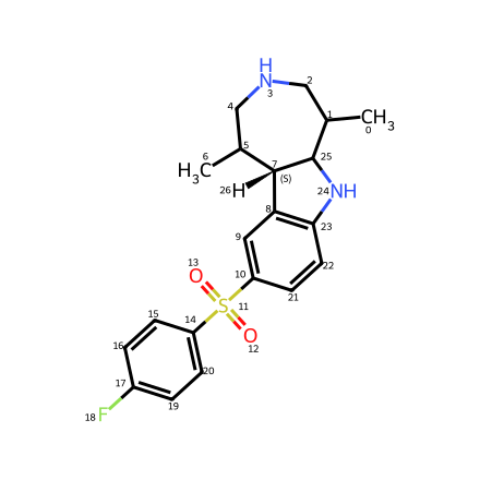 CC1CNCC(C)[C@H]2c3cc(S(=O)(=O)c4ccc(F)cc4)ccc3NC12